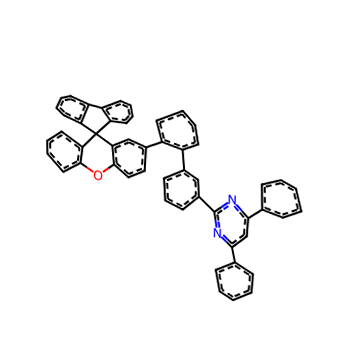 c1ccc(-c2cc(-c3ccccc3)nc(-c3cccc(-c4ccccc4-c4ccc5c(c4)C4(c6ccccc6O5)c5ccccc5-c5ccccc54)c3)n2)cc1